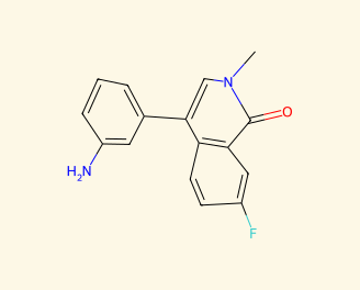 Cn1cc(-c2cccc(N)c2)c2ccc(F)cc2c1=O